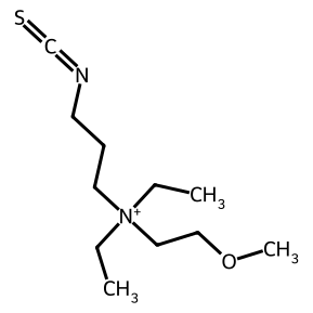 CC[N+](CC)(CCCN=C=S)CCOC